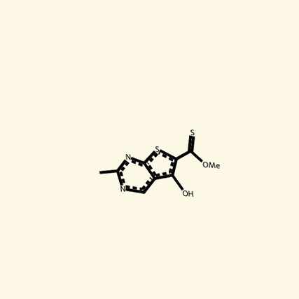 COC(=S)c1sc2nc(C)ncc2c1O